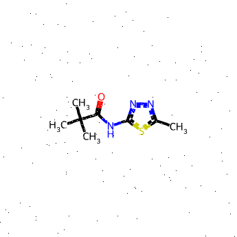 Cc1nnc(NC(=O)C(C)(C)C)s1